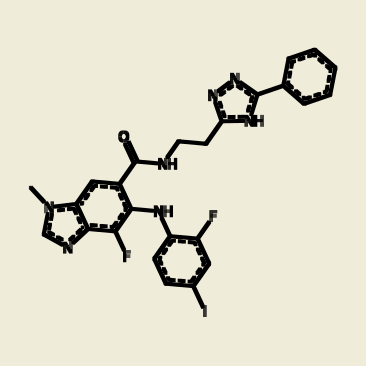 Cn1cnc2c(F)c(Nc3ccc(I)cc3F)c(C(=O)NCCc3nnc(-c4ccccc4)[nH]3)cc21